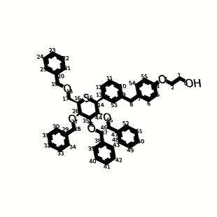 OCCOc1ccc(Cc2cccc([C@@H]3S[C@H](COCc4ccccc4)[C@@H](OCc4ccccc4)[C@H](OCc4ccccc4)[C@H]3OCc3ccccc3)c2)cc1